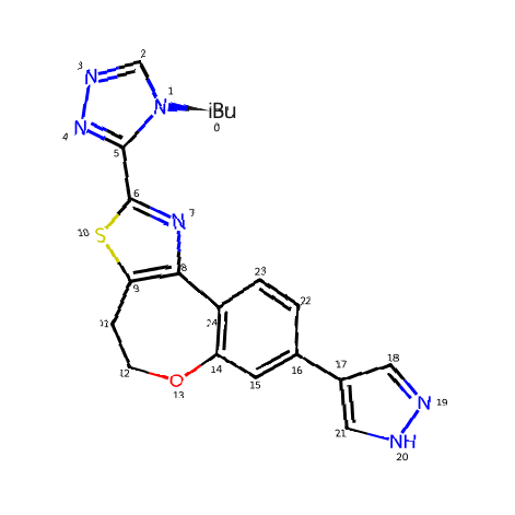 CC[C@H](C)n1cnnc1-c1nc2c(s1)CCOc1cc(-c3cn[nH]c3)ccc1-2